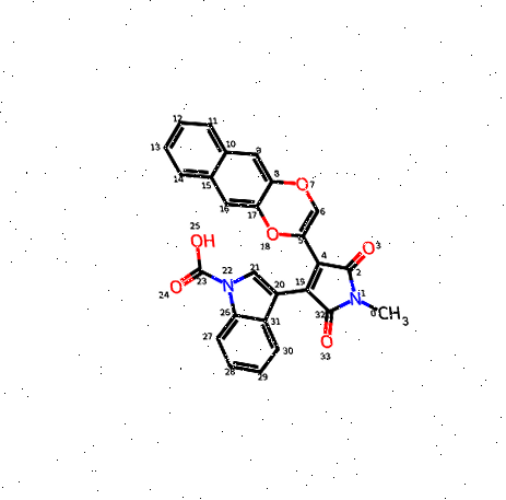 CN1C(=O)C(C2=COc3cc4ccccc4cc3O2)=C(c2cn(C(=O)O)c3ccccc23)C1=O